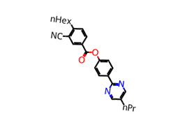 CCCCCCc1ccc(C(=O)Oc2ccc(-c3ncc(CCC)cn3)cc2)cc1C#N